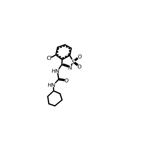 O=C(NC1=NS(=O)(=O)c2cccc(Cl)c21)NC1CCCCC1